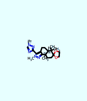 CC(C)n1cnc(-c2c3c(nn2C)[C@@]2(C)CCC4(OCCO4)C(C)(C)[C@@H]2CC3)n1